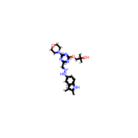 Cc1[nH]c2ccc(NN=Cc3nc(OCC(C)(C)O)nc(N4CCOCC4)n3)cc2c1C